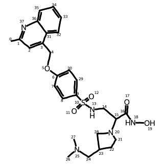 Cc1cc(COc2ccc(S(=O)(=O)NCC(C(=O)NO)N3CCC(CN(C)C)C3)cc2)c2ccccc2n1